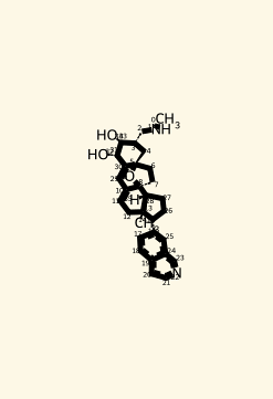 CNC[C@@H]1C[C@@]23CC[C@@]4(O2)C(=CC[C@]2(C)[C@@H](c5ccc6ccncc6c5)CC[C@H]24)C=C3[C@H](O)[C@@H]1O